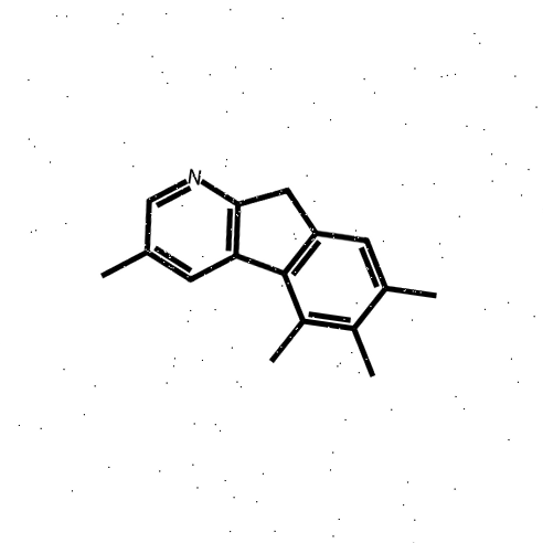 Cc1cnc2c(c1)-c1c(cc(C)c(C)c1C)C2